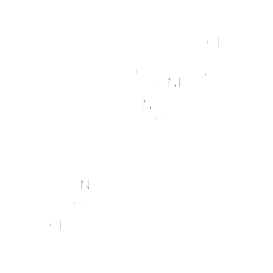 CCO/N=C/c1ccc(CN(OCc2ccccc2)C(=O)NCC(=O)O)cc1